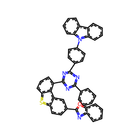 c1ccc(-c2nc(-c3ccc(-n4c5ccccc5c5ccccc54)cc3)nc(-c3cccc4sc5ccc(-c6nc7ccccc7o6)cc5c34)n2)cc1